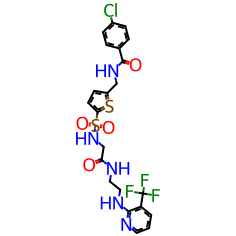 O=C(CNS(=O)(=O)c1ccc(CNC(=O)c2ccc(Cl)cc2)s1)NCCNc1ncccc1C(F)(F)F